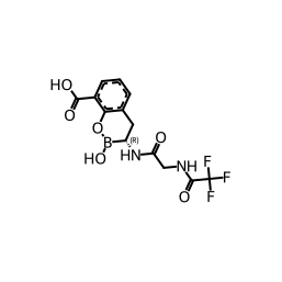 O=C(CNC(=O)C(F)(F)F)N[C@H]1Cc2cccc(C(=O)O)c2OB1O